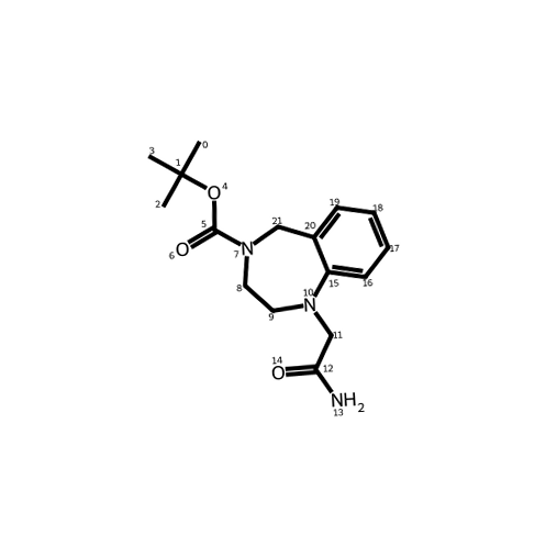 CC(C)(C)OC(=O)N1CCN(CC(N)=O)c2ccccc2C1